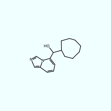 OC(c1cccc2cncn12)C1CCCCCCC1